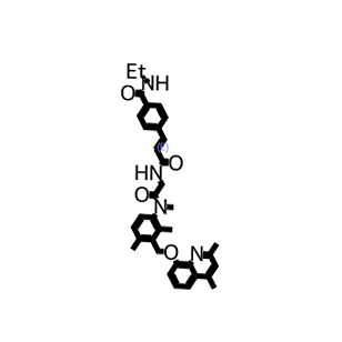 CCNC(=O)c1ccc(/C=C/C(=O)NCC(=O)N(C)c2ccc(C)c(COc3cccc4c(C)cc(C)nc34)c2C)cc1